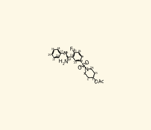 CC(=O)OC1CCN(S(=O)(=O)c2ccc(F)c(/C(N)=N/c3ccccc3)c2)CC1